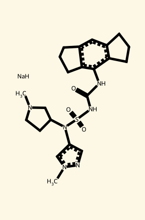 CN1CCC(N(c2cnn(C)c2)S(=O)(=O)NC(=O)Nc2c3c(cc4c2CCC4)CCC3)C1.[NaH]